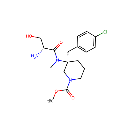 CN(C(=O)[C@H](N)CO)[C@@]1(Cc2ccc(Cl)cc2)CCCN(C(=O)OC(C)(C)C)C1